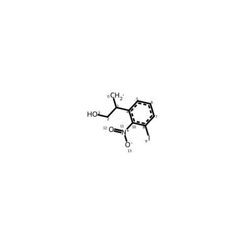 [CH2]C(CO)c1cccc(I)c1[N+](=O)[O-]